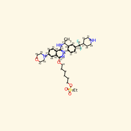 CCS(=O)(=O)OCCCCCCOc1nnc(NC(C)c2cccc(C(F)(F)C3CCNCC3)c2)c2ccc(N3CCOCC3)cc12